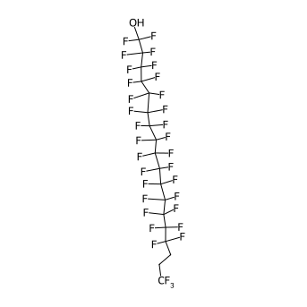 OC(F)(F)C(F)(F)C(F)(F)C(F)(F)C(F)(F)C(F)(F)C(F)(F)C(F)(F)C(F)(F)C(F)(F)C(F)(F)C(F)(F)C(F)(F)C(F)(F)C(F)(F)CCC(F)(F)F